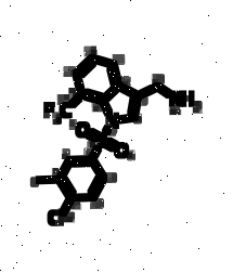 Cc1cc(S(=O)(=O)n2cc(CN)c3cccc(C(F)(F)F)c32)ccc1Cl